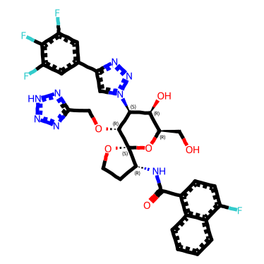 O=C(N[C@@H]1CCO[C@]12O[C@H](CO)[C@H](O)[C@H](n1cc(-c3cc(F)c(F)c(F)c3)nn1)[C@H]2OCc1nn[nH]n1)c1ccc(F)c2ccccc12